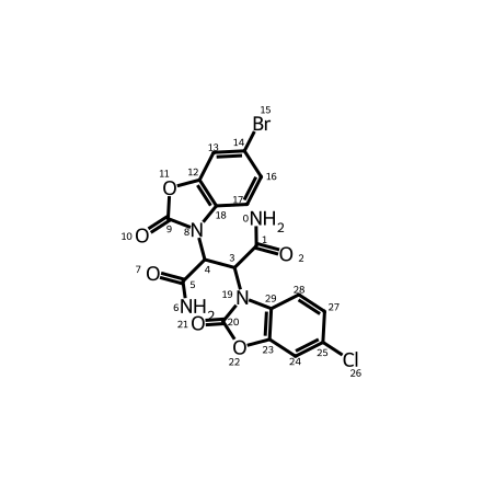 NC(=O)C(C(C(N)=O)n1c(=O)oc2cc(Br)ccc21)n1c(=O)oc2cc(Cl)ccc21